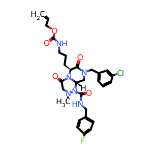 C=CCOC(=O)NCCC[C@H]1C(=O)N(Cc2cccc(Cl)c2)C[C@H]2N1C(=O)CN(C)N2C(=O)NCc1ccc(F)cc1